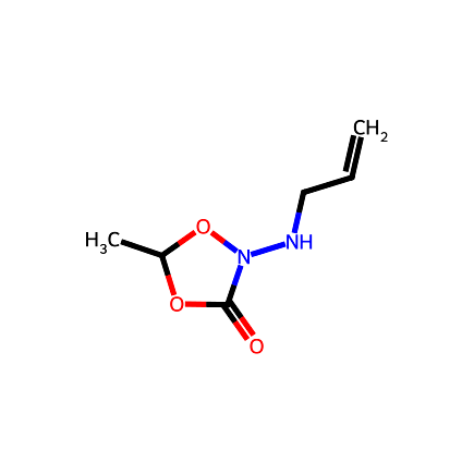 C=CCNN1OC(C)OC1=O